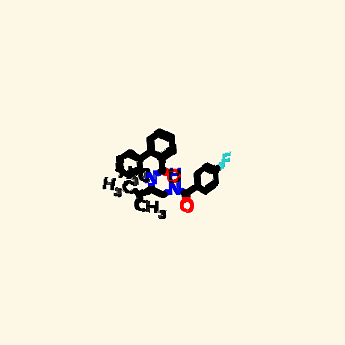 CC(C)C(CNC(=O)c1ccc(F)cc1)N(C)C(=O)c1ccccc1-c1ccccc1